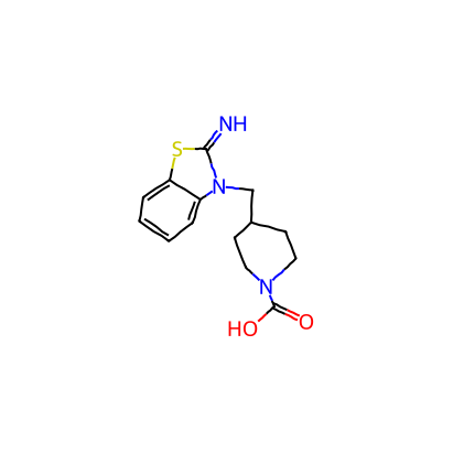 N=c1sc2ccccc2n1CC1CCN(C(=O)O)CC1